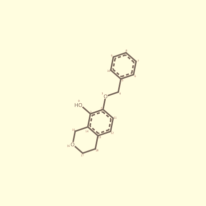 Oc1c(OCc2ccccc2)ccc2c1COCC2